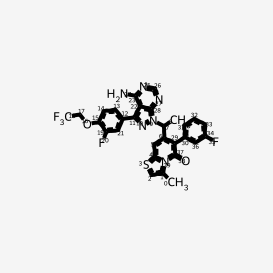 Cc1csc2cc(C(C)n3nc(-c4ccc(OCC(F)(F)F)c(F)c4)c4c(N)ncnc43)c(-c3cccc(F)c3)c(=O)n12